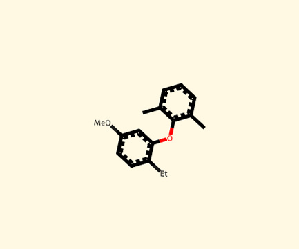 CCc1ccc(OC)cc1Oc1c(C)cccc1C